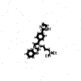 CCN(CC)CCCN1C(c2ccc(-c3ncc[nH]3)cc2)=CN2c3ccccc3SC12